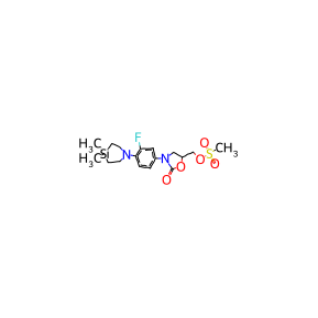 C[Si]1(C)CCN(c2ccc(N3CC(COS(C)(=O)=O)OC3=O)cc2F)CC1